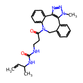 C=CC(C)NC(=O)NCCC(=O)N1Cc2ccccc2-c2c(nnn2C)-c2ccccc21